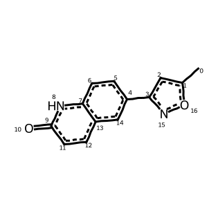 Cc1cc(-c2ccc3[nH]c(=O)ccc3c2)no1